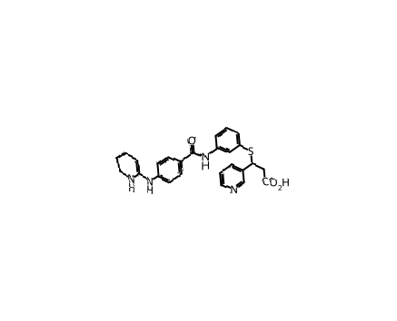 O=C(O)CC(Sc1cccc(NC(=O)c2ccc(NC3=CCCCN3)cc2)c1)c1cccnc1